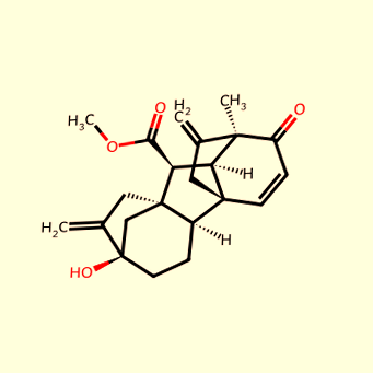 C=C1C[C@@]23C[C@]1(O)CC[C@@H]2[C@]12C=CC(=O)[C@](C)(C(=C)C1)[C@@H]2[C@@H]3C(=O)OC